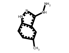 Cc1ccc2[nH]nc(NN)c2c1